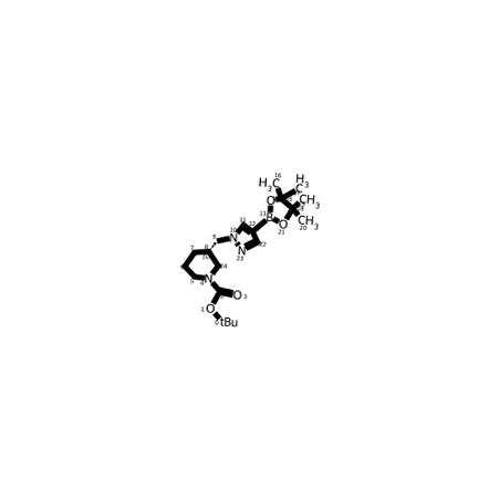 CC(C)(C)OC(=O)N1CCC[C@H](Cn2cc(B3OC(C)(C)C(C)(C)O3)cn2)C1